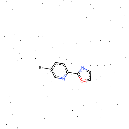 CCc1ccc(-c2ncco2)nc1